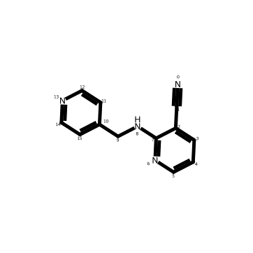 N#Cc1cccnc1NCc1ccncc1